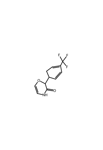 O=C1NC=COC1C1C=CC(C(F)(F)F)=CC1